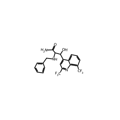 NC(=O)C(NCc1ccccc1)C(O)c1cc(C(F)(F)F)nc2c(C(F)(F)F)cccc12